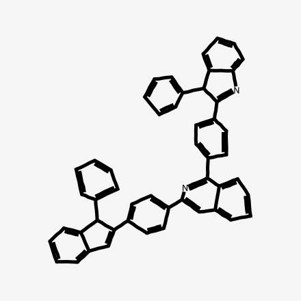 C1=C(c2ccc(-c3cc4ccccc4c(-c4ccc(C5=Nc6ccccc6C5c5ccccc5)cc4)n3)cc2)C(c2ccccc2)c2ccccc21